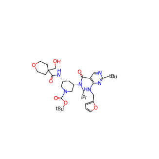 CC(C)CN(C(=O)c1cnc(C(C)(C)C)nc1NCc1ccco1)[C@H]1C[C@@H](NC(=O)C2(CO)CCOCC2)CN(C(=O)OC(C)(C)C)C1